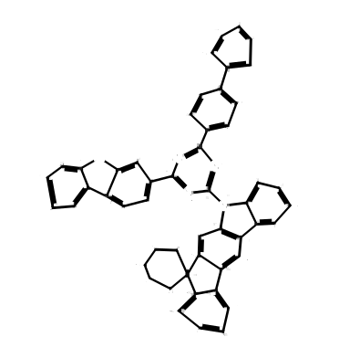 c1ccc(-c2ccc(-c3nc(-c4ccc5c(c4)oc4ccccc45)nc(-n4c5ccccc5c5cc6c(cc54)C4(CCCCC4)c4ccccc4-6)n3)cc2)cc1